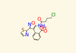 O=C(CCCCl)Nc1onc(-c2nccs2)c1-c1ccccc1C(=O)O